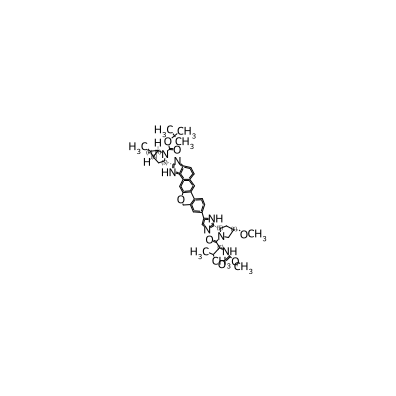 COC[C@H]1C[C@@H](c2ncc(-c3ccc4c(c3)COc3cc5c(ccc6nc([C@@H]7C[C@H]8[C@@H](C)[C@H]8N7C(=O)OC(C)(C)C)[nH]c65)cc3-4)[nH]2)N(C(=O)[C@@H](NC(=O)OC)C(C)C)C1